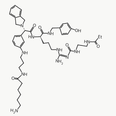 CCC(=O)NCCNC(=O)/N=C(/N)NCCC[C@@H](NC(=O)[C@H](c1cccc(NCCCNC(=O)CCCCCN)c1)N1Cc2ccccc2C1)C(=O)NCc1ccc(O)cc1